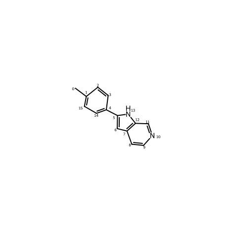 Cc1ccc(-c2cc3ccncc3[nH]2)cc1